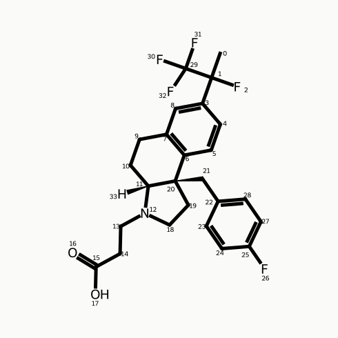 CC(F)(c1ccc2c(c1)CC[C@H]1N(CCC(=O)O)CC[C@@]21Cc1ccc(F)cc1)C(F)(F)F